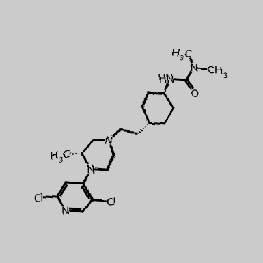 C[C@@H]1CN(CC[C@H]2CC[C@H](NC(=O)N(C)C)CC2)CCN1c1cc(Cl)ncc1Cl